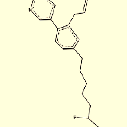 C=CCc1cc(CCCCCC(C)F)ccc1-c1cccnc1